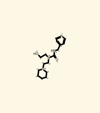 O=C(NCc1ccncc1)N(CCO)CCN1CCCCC1